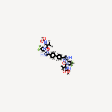 COC(=O)/N=C/C(C(=O)N1CC(F)(F)C[C@H]1c1nc(-c2ccc(-c3ccc(-c4c[nH]c([C@@H]5CC(F)(F)CN5C(=O)[C@@H](NC(=O)OC)C(C)C)n4)cc3)cc2)c[nH]1)C(C)C